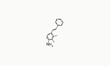 Cc1c(N)ccc(C=Cc2ccccc2)c1C